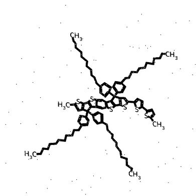 CCCCCCCCCCCCc1ccc(C2(c3ccc(CCCCCCCCCCCC)cc3)c3cc(C)sc3-c3sc4cc5c6c(sc5cc4c32)-c2sc(-c3ccc(-c4ccc(C)s4)s3)cc2C6(c2ccc(CCCCCCCCCCCC)cc2)c2ccc(CCCCCCCCCCCC)cc2)cc1